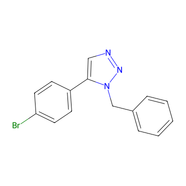 Brc1ccc(-c2cnnn2Cc2ccccc2)cc1